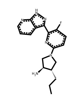 CCC[C@H]1CN(c2ccc(F)c(-c3n[nH]c4ncccc34)n2)C[C@@H]1N